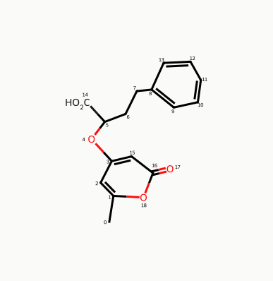 Cc1cc(OC(CCc2ccccc2)C(=O)O)cc(=O)o1